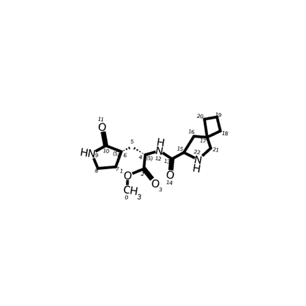 COC(=O)[C@H](C[C@@H]1CCNC1=O)NC(=O)C1CC2(CCC2)CN1